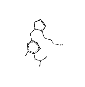 Cc1cc(CN2CC=CN2CCCO)ccc1OC(F)F